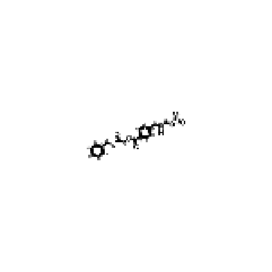 O=C(COC(=O)c1ccc(CNCO[SH](=O)=O)cc1)OCc1ccccc1